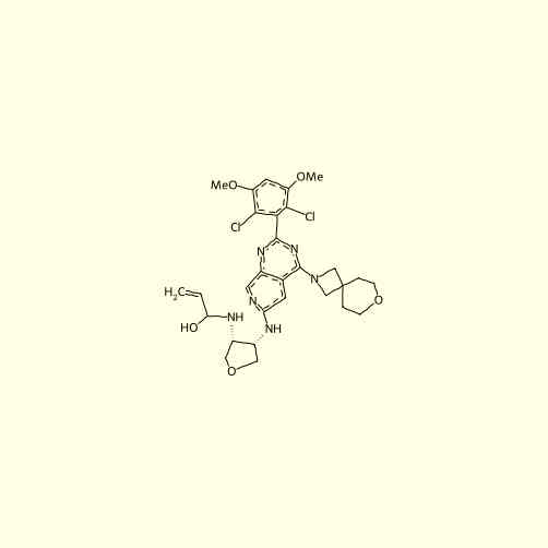 C=CC(O)N[C@H]1COC[C@H]1Nc1cc2c(N3CC4(CCOCC4)C3)nc(-c3c(Cl)c(OC)cc(OC)c3Cl)nc2cn1